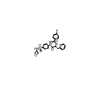 O=C(N[C@@H](Cc1ccccn1)C(=O)Nc1ccc(S(=O)(=O)NC2COC2)cc1)c1ccc(F)cc1